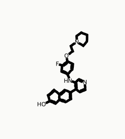 Oc1ccc2cc(-c3ccncc3Nc3ccc(OCCN4CCCCC4)c(F)c3)ccc2c1